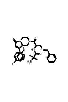 CC(C)(N)C(=O)N[C@H](COCc1ccccc1)C(=O)N1CCN2C(=O)C=C(N3CCCC3)[C@]2(Cc2ccc(F)cc2)C1